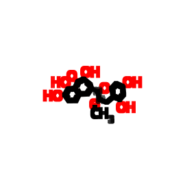 CO[C@@H]1Cc2c(O)cc(O)cc2O[C@@H]1c1cc(O)c(=O)c2c(O)c(O)ccc2c1